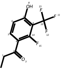 CCC(=O)c1ccc(O)c(C(F)(F)F)c1F